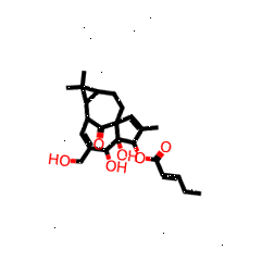 CCC=CC(=O)OC1C(C)=CC23CCC4C(C(C=C(CO)C(O)C12O)C3=O)C4(C)C